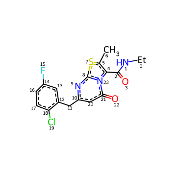 CCNC(=O)c1c(C)sc2nc(Cc3cc(F)ccc3Cl)cc(=O)n12